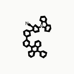 N#Cc1cc(-n2c3ccccc3c3ccccc32)ccc1-c1cccc(-c2cccc(-c3c4ccccc4c(-c4ccccc4)c4ccccc34)c2)c1